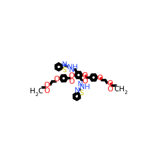 C=CC(=O)OCCCOc1ccc(C(=O)Oc2cc(/C=N/Nc3nc4ccccc4s3)c(OC(=O)c3ccc(OCCCOC(=O)C=C)cc3)cc2/C=N/Nc2nc3ccccc3s2)cc1